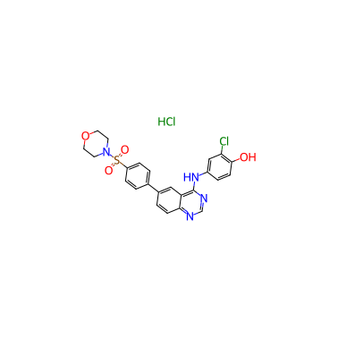 Cl.O=S(=O)(c1ccc(-c2ccc3ncnc(Nc4ccc(O)c(Cl)c4)c3c2)cc1)N1CCOCC1